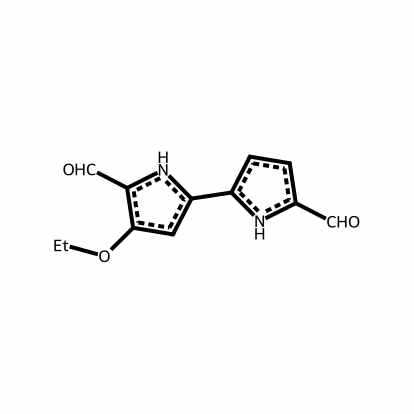 CCOc1cc(-c2ccc(C=O)[nH]2)[nH]c1C=O